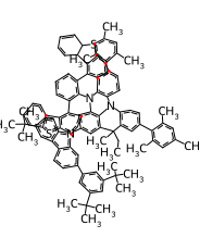 CCC1(C)c2cc(-c3c(C)cc(C)cc3C)ccc2N2c3ccc(-c4c(C)cc(C)cc4C)cc3N(c3c(-c4cccc5c4C4C=CC=CC4S5)cccc3-c3cccc4sc5ccccc5c34)c3cc(-n4c5ccc(C(C)(C)C)cc5c5ccc(-c6cc(C(C)(C)C)cc(C(C)(C)C)c6)cc54)cc1c32